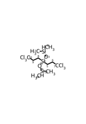 C[SiH](C)O[Si](CCC(Cl)(Cl)Cl)(CCC(Cl)(Cl)Cl)O[SiH](C)C